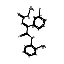 O=C(/C=C(/C(=O)Oc1ccccc1[N+](=O)[O-])c1cccc(F)c1)O[SiH3]